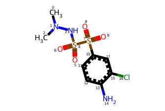 CN(C)NS(=O)(=O)S(=O)(=O)c1ccc(N)c(Cl)c1